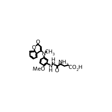 COc1ccc(N(C)c2cc(=O)oc3ccccc23)cc1NNC(=O)[C@@H](N)CCC(=O)O